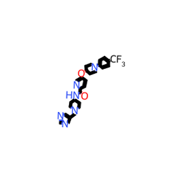 O=C(NC1CCN(Cc2cncnc2)CC1)c1ccc(OC2CCN(c3ccc(C(F)(F)F)cc3)CC2)cn1